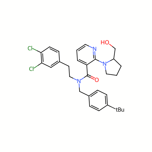 CC(C)(C)c1ccc(CN(CCc2ccc(Cl)c(Cl)c2)C(=O)c2cccnc2N2CCCC2CO)cc1